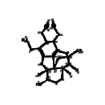 COC1=C2O[C@H]3[C@@H](O)CC[C@H]4[C@H]5CC(=C2[C@]43CCN5C)C(SC#N)C1SC#N